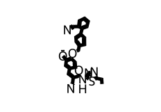 CCc1nnc(NC(=O)/C(C#N)=C\c2ccc(OCc3ccc(-c4ccccc4C#N)cc3)c(OC)c2)s1